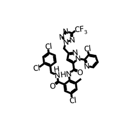 Cc1cc(Cl)cc(C(=O)NCc2ccc(Cl)cc2Cl)c1NC(=O)c1cc(Cn2nnc(C(F)(F)F)n2)nn1-c1ncccc1Cl